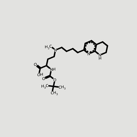 CN(CCCCc1ccc2c(n1)NCCC2)CCC(NC(=O)OC(C)(C)C)C(=O)O